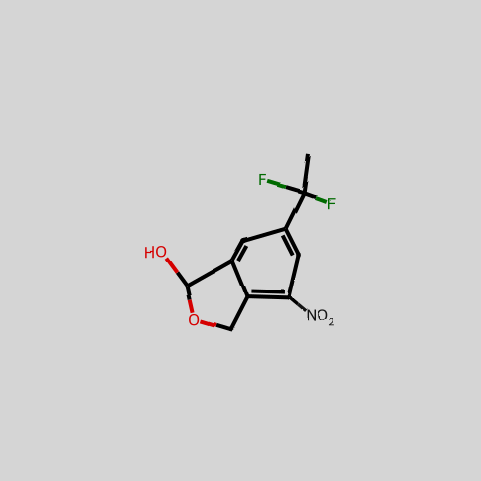 CC(F)(F)c1cc2c(c([N+](=O)[O-])c1)COC2O